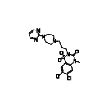 CN1C(=O)N(CCCN2CCN(c3ncccn3)CC2)S(=O)(=O)c2cc(Cl)c(Cl)cc21